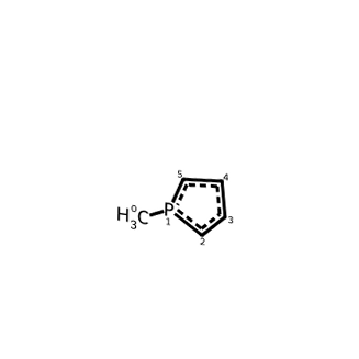 Cp1cccc1